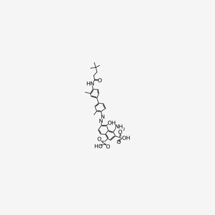 Cc1cc(-c2ccc(NC(=O)CCC(C)(C)C)c(C)c2)ccc1N=Nc1ccc2c(S(=O)(=O)O)cc(S(=O)(=O)O)c(N)c2c1O